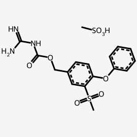 CS(=O)(=O)O.CS(=O)(=O)c1cc(COC(=O)NC(=N)N)ccc1Oc1ccccc1